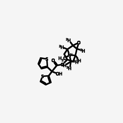 [2H]C12OC1([2H])C1([2H])CC(OC(=O)C(O)(c3cccs3)c3cccs3)CC2([2H])[N+]1(C)C([2H])([2H])[2H]